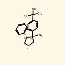 C[C@@]1(c2ccc(C(O)(C(F)(F)F)C(F)(F)F)cc2)CNC[C@@H]1c1ccccc1